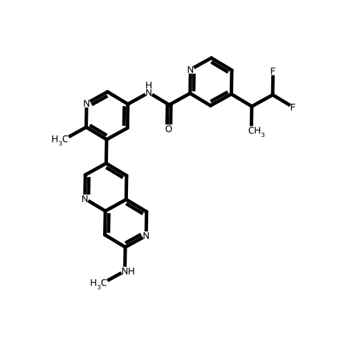 CNc1cc2ncc(-c3cc(NC(=O)c4cc(C(C)C(F)F)ccn4)cnc3C)cc2cn1